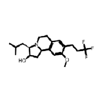 COc1cc2c(cc1CCC(F)(F)F)CCN1C2CC(O)[C@H]1CC(C)C